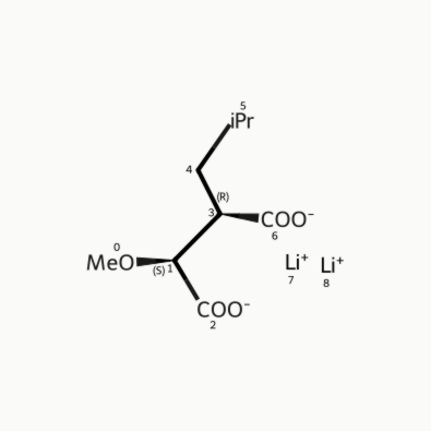 CO[C@H](C(=O)[O-])[C@@H](CC(C)C)C(=O)[O-].[Li+].[Li+]